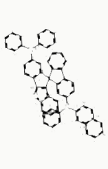 c1ccc(N(c2ccccc2)c2ccc3c(c2)C2(c4ccccc4-c4ccc(N(c5ccccc5)c5ccc6ccccc6c5)cc42)c2c-3sc3ccccc23)cc1